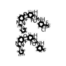 O=C(Nc1ccc(Cl)c(C(F)(F)F)c1)Nc1ccc(Oc2ccc3ncc(N4CCCC4)nc3c2)c(F)c1F.O=C(Nc1cccc(F)c1)Nc1ccc(Oc2ccc3ncc(N4CCCC4)nc3c2)c(F)c1F